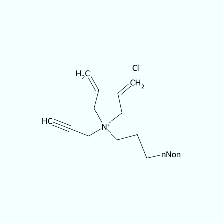 C#CC[N+](CC=C)(CC=C)CCCCCCCCCCCC.[Cl-]